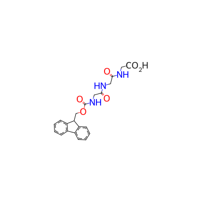 O=C(O)CNC(=O)CNC(=O)CNC(=O)OCC1c2ccccc2-c2ccccc21